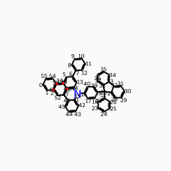 c1ccc(-c2cc(-c3ccccc3)cc(N(c3ccc(C4(c5ccccc5)c5ccccc5-c5ccccc54)cc3)c3ccccc3-c3ccccc3)c2)cc1